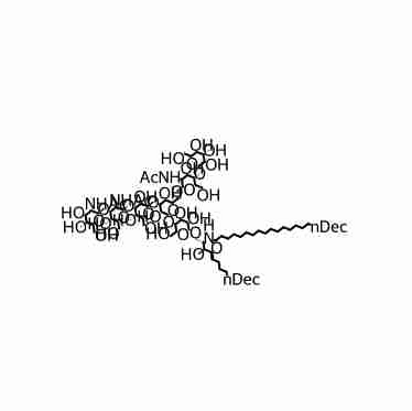 CCCCCCCCCCCCC/C=C/[C@@H](O)[C@H](CO[C@@H]1OC(CO)[C@@H](O[C@@H]2OC(CO[C@@H]3OC(CO)[C@@H](O[C@@H]4OC(CO)[C@H](O)[C@H](O)C4O)[C@H](O)C3NC(C)=O)[C@H](O)[C@H](O[C@H]3OC(CO)[C@H](O)[C@H](O[C@@H]4OC(CO)[C@H](O)[C@H](O[C@H]5OC(CO)[C@H](O)[C@H](O)C5NC(C)=O)C4NC(C)=O)C3O)C2O)[C@H](O)C1O)NC(=O)CCCCCCCCCCCCCCCCCCCCCCCCC